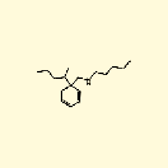 CCCCCNCC1(C(C)CCC)C=CC=[C]C1